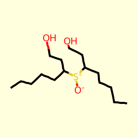 CCCCCC(CCO)[S+]([O-])C(CCO)CCCCC